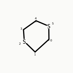 [CH]1CSC[CH]S1